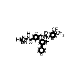 O=C(Nc1nn[nH]n1)c1ccc(CN(C(=O)Nc2ccc(C(F)(F)F)c(C(F)(F)F)c2)c2ccc(C3CCCCC3)cc2)cc1